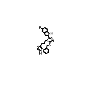 Fc1ccc2[nH]c(-c3nnc(SCc4ccccc4)n3CCCc3c[nH]cn3)cc2c1